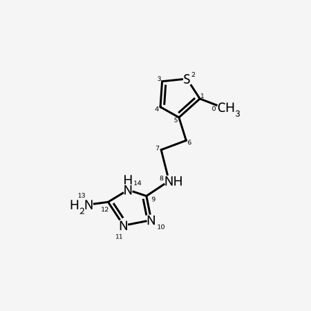 Cc1sccc1CCNc1nnc(N)[nH]1